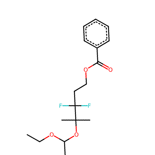 CCOC(C)OC(C)(C)C(F)(F)CCOC(=O)c1ccccc1